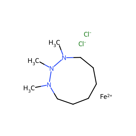 CN1CCCCCCN(C)N1C.[Cl-].[Cl-].[Fe+2]